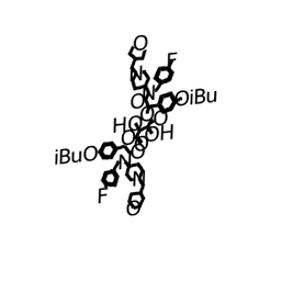 CC(C)COc1ccc(C(OC(=O)C(O)C(O)C(=O)OC(C(=O)N(Cc2ccc(F)cc2)C2CCN(CC3CCOCC3)CC2)c2ccc(OCC(C)C)cc2)C(=O)N(Cc2ccc(F)cc2)C2CCN(CC3CCOCC3)CC2)cc1